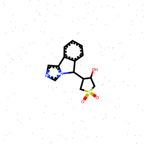 O=S1(=O)CC(O)C(C2c3ccccc3-c3cncn32)C1